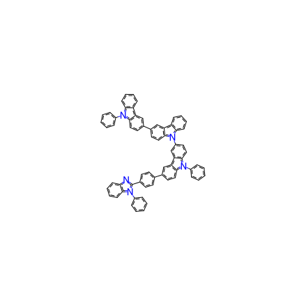 c1ccc(-n2c(-c3ccc(-c4ccc5c(c4)c4cc(-n6c7ccccc7c7cc(-c8ccc9c(c8)c8ccccc8n9-c8ccccc8)ccc76)ccc4n5-c4ccccc4)cc3)nc3ccccc32)cc1